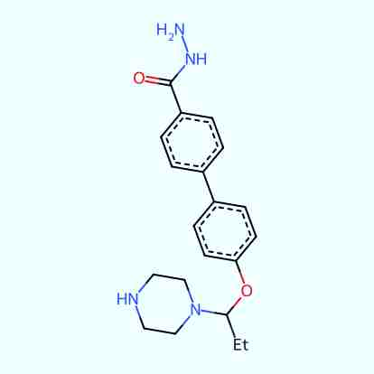 CCC(Oc1ccc(-c2ccc(C(=O)NN)cc2)cc1)N1CCNCC1